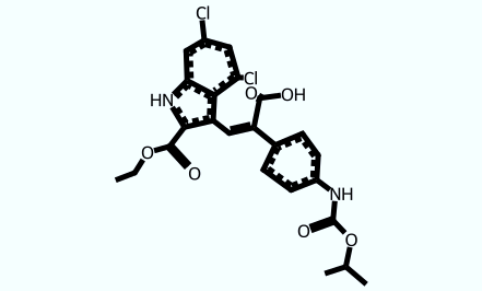 CCOC(=O)c1[nH]c2cc(Cl)cc(Cl)c2c1C=C(C(=O)O)c1ccc(NC(=O)OC(C)C)cc1